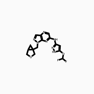 FC(F)Oc1cc(Nc2cnc3cnn(CC45COCC4C5)c3n2)n[nH]1